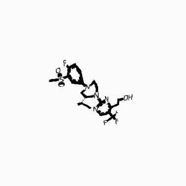 CC(C)[C@@H]1CN(c2ccc(F)c(S(C)(=O)=O)c2)CCN1c1ncc(C(F)(F)F)c(CCO)n1